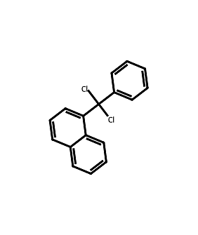 ClC(Cl)(c1ccccc1)c1cccc2ccccc12